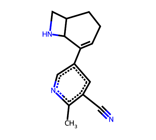 Cc1ncc(C2=CCCC3CNC23)cc1C#N